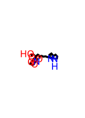 O=C(O)C[C@@H](CC(=O)CCCCc1ccc2c(n1)NCCC2)c1cnc2c(c1)OCCO2